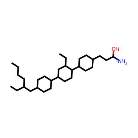 CCCCC(CC)CC1CCC(C2CCC(C3CCC(CCC(N)O)CC3)C(CC)C2)CC1